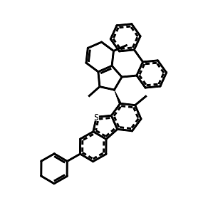 Cc1ccc2c(sc3cc(C4=CCCC=C4)ccc32)c1[C@H]1C(C)C2=C(C(C)CC=C2)C1c1ccccc1-c1ccccc1